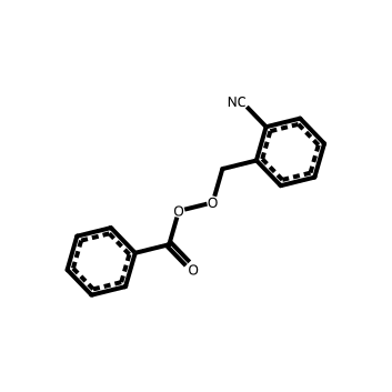 N#Cc1ccccc1COOC(=O)c1ccccc1